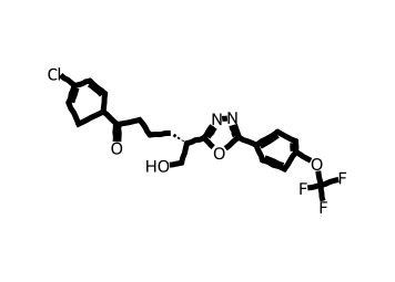 O=C(CCC[C@@H](CO)c1nnc(-c2ccc(OC(F)(F)F)cc2)o1)C1C=CC(Cl)=CC1